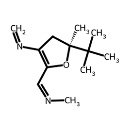 C=NC1=C(/C=N\C)O[C@](C)(C(C)(C)C)C1